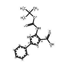 CC(C)(C)OC(=O)Nc1[nH]c(-c2ccccc2)nc1C(=O)O